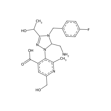 Cc1nc(CO)cc(C(=O)O)c1N1N=C(C(C)O)N(Cc2ccc(F)cc2)C1CN